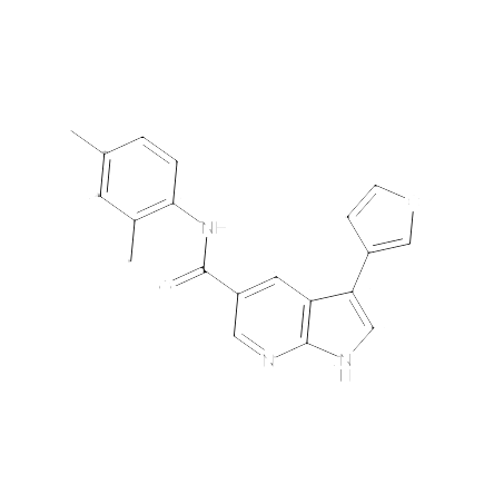 Cc1ccc(NC(=O)c2cnc3[nH]cc(-c4ccoc4)c3c2)c(C)c1